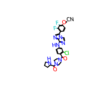 N#CCOc1ccc(-c2cnc3c(Nc4ccc(C(=O)N5CCN(C(=O)C6CCCN6)CC5)c(Cl)c4)nccn23)c(F)c1F